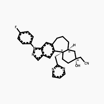 N#CC[C@@]1(O)CC[C@@]2(Cc3ncccn3)c3cc4cnn(-c5ccc(F)cc5)c4cc3CCC[C@H]2C1